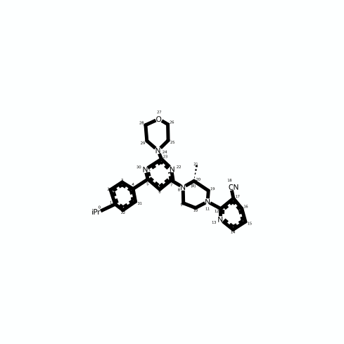 CC(C)c1ccc(-c2cc(N3CCN(c4ncccc4C#N)C[C@H]3C)nc(N3CCOCC3)n2)cc1